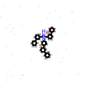 C1=c2sc3cc([N+]4=C(c5cccc6c5oc5ccccc56)NC4c4cccc(-c5ccccc5)c4)ccc3c2=CC(c2ccccc2)C1